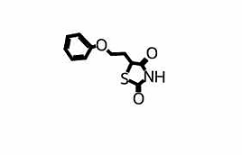 O=C1NC(=O)C(CCOc2ccccc2)S1